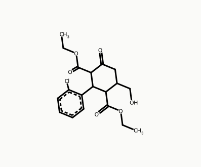 CCOC(=O)C1C(=O)CC(CO)C(C(=O)OCC)C1c1ccccc1Cl